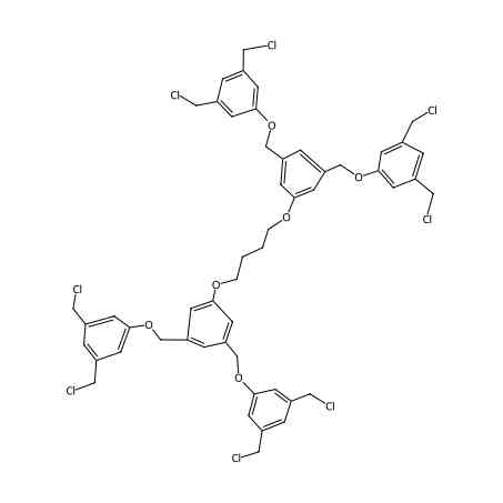 ClCc1cc(CCl)cc(OCc2cc(COc3cc(CCl)cc(CCl)c3)cc(OCCCCOc3cc(COc4cc(CCl)cc(CCl)c4)cc(COc4cc(CCl)cc(CCl)c4)c3)c2)c1